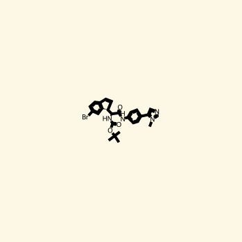 Cn1cncc1-c1ccc(NC(=O)[C@@H](NC(=O)OC(C)(C)C)[C@H]2C=Cc3ccc(Br)cc32)cc1